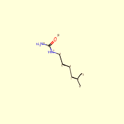 CC(C)CCCCNC(N)=O